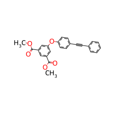 COC(=O)c1cc(Oc2ccc(C#Cc3ccccc3)cc2)cc(C(=O)OC)c1